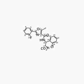 Cc1oc(-c2ccccc2F)nc1C(=O)NC(CC(=O)O)c1ccccc1Cl